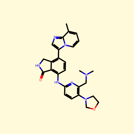 Cc1cccn2c(-c3ccc(Nc4ccc(N5CCOC5)c(CN(C)C)n4)c4c3CNC4=O)cnc12